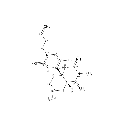 C=CCCn1cc(F)c([C@]23CO[C@@H](C)C[C@H]2C(=C)N(C)C(=N)N3)cc1=O